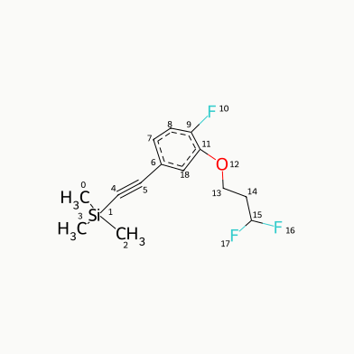 C[Si](C)(C)C#Cc1ccc(F)c(OCCC(F)F)c1